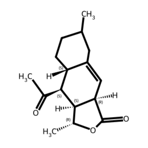 CC(=O)[C@@H]1[C@@H]2[C@@H](C)OC(=O)[C@@H]2C=C2CC(C)CC[C@H]21